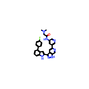 CN(C)CC(=O)Nc1cncc(-c2cc3c(-c4cc5c(-c6ccc(F)cc6)cccc5[nH]4)n[nH]c3cn2)c1